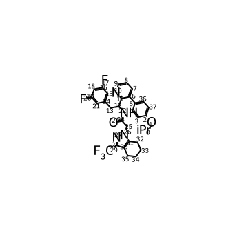 CC(C)Oc1ccc(-c2cccnc2C(Cc2cc(F)cc(F)c2)NC(=O)Cn2nc(C(F)(F)F)c3c2CCCC3)cc1